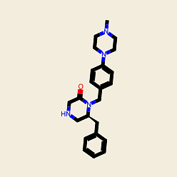 CN1CCN(c2ccc(CN3C(=O)CNC[C@@H]3Cc3ccccc3)cc2)CC1